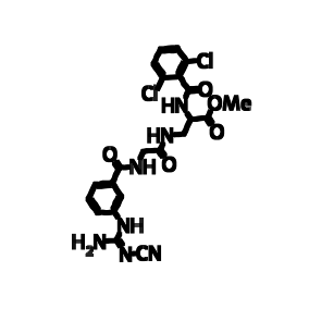 COC(=O)C(CNC(=O)CNC(=O)c1cccc(N/C(N)=N\C#N)c1)NC(=O)c1c(Cl)cccc1Cl